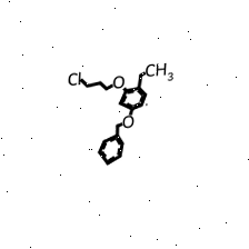 CCc1c[c]c(OCc2ccccc2)cc1OCCCCl